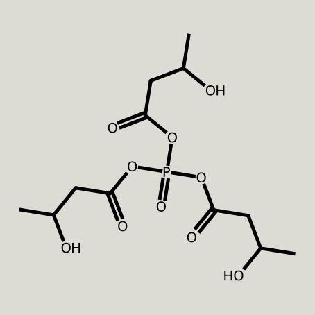 CC(O)CC(=O)OP(=O)(OC(=O)CC(C)O)OC(=O)CC(C)O